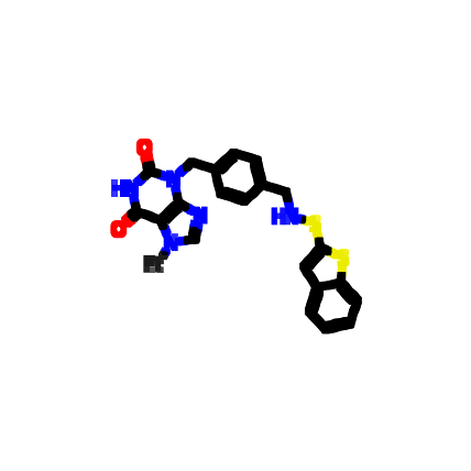 CCn1cnc2c1c(=O)[nH]c(=O)n2Cc1ccc(CNSc2cc3ccccc3s2)cc1